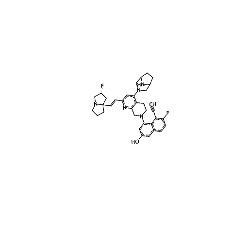 C#Cc1c(F)ccc2cc(O)cc(N3CCc4c(N5CC6CCC(C5)N6)cc(/C=C/[C@@]56CCCN5C[C@H](F)C6)nc4C3)c12